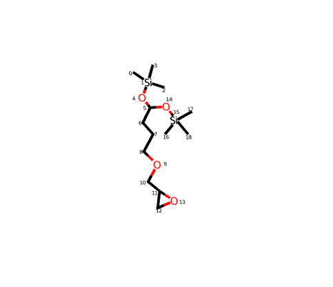 C[Si](C)(C)OC(CCCOCC1CO1)O[Si](C)(C)C